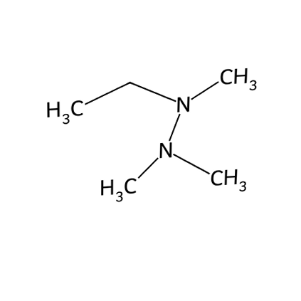 CCN(C)N(C)C